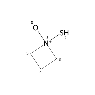 [O-][N+]1(S)CCC1